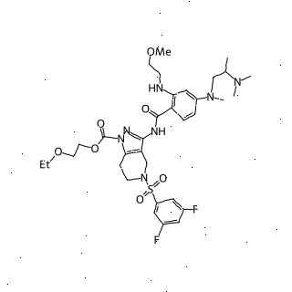 CCOCCOC(=O)n1nc(NC(=O)c2ccc(N(C)CC(C)N(C)C)cc2NCCOC)c2c1CCN(S(=O)(=O)c1cc(F)cc(F)c1)C2